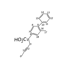 CC#CCC(C(=O)O)c1ccc(-c2ccccc2)c(C)c1